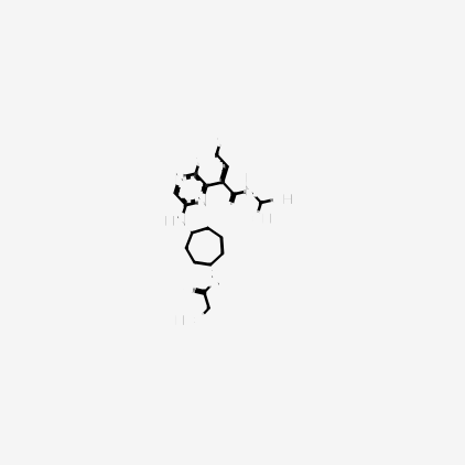 CC/C=C(/C(=O)NC(C)C)c1nc(N[C@@H]2CCC[C@H](NC(=O)CC)CC2)cnc1C